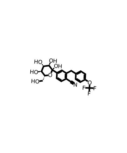 N#Cc1ccc([C@]2(O)O[C@H](CO)[C@@H](O)[C@H](O)[C@H]2O)cc1Cc1ccc(OC(F)(F)F)cc1